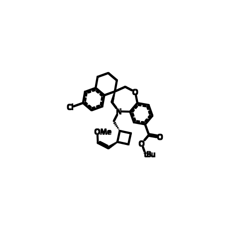 CO/C=C\[C@@H]1CC[C@H]1CN1C[C@@]2(CCCc3cc(Cl)ccc32)COc2ccc(C(=O)OC(C)(C)C)cc21